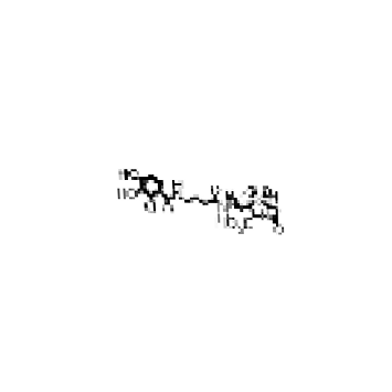 C[C@]1(/C=N/NC(=O)CCCNC(=O)c2ccc(O)c(O)c2Cl)[C@H](C(=O)O)N2C(=O)C[C@H]2S1(=O)=O